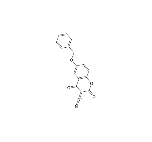 [N-]=[N+]=C1C(=O)Oc2ccc(OCc3ccccc3)cc2C1=O